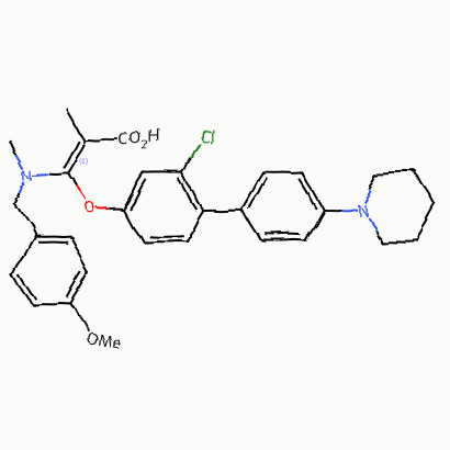 COc1ccc(CN(C)/C(Oc2ccc(-c3ccc(N4CCCCC4)cc3)c(Cl)c2)=C(\C)C(=O)O)cc1